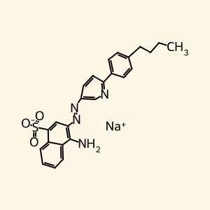 CCCCc1ccc(-c2ccc(N=Nc3cc(S(=O)(=O)[O-])c4ccccc4c3N)cn2)cc1.[Na+]